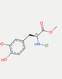 COC(=O)[C@H](Cc1ccc(O)c(O)c1)NCl